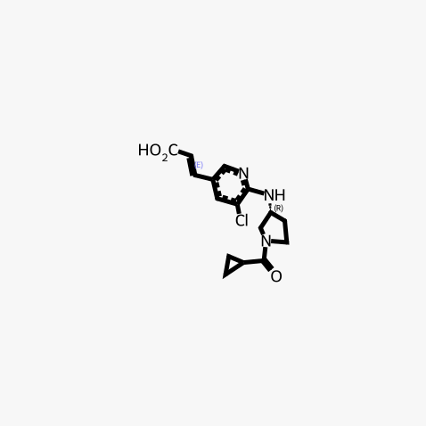 O=C(O)/C=C/c1cnc(N[C@@H]2CCN(C(=O)C3CC3)C2)c(Cl)c1